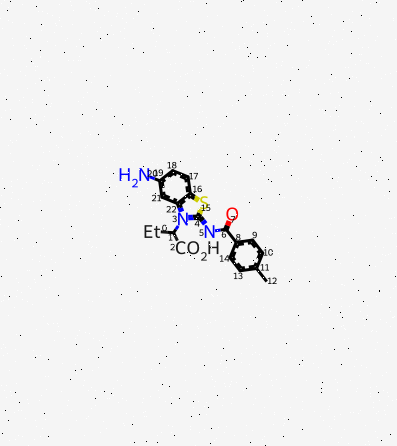 CCC(C(=O)O)n1c(=NC(=O)c2ccc(C)cc2)sc2ccc(N)cc21